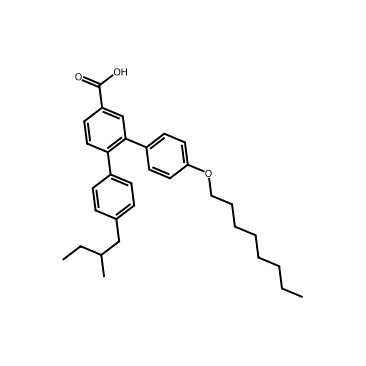 CCCCCCCCOc1ccc(-c2cc(C(=O)O)ccc2-c2ccc(CC(C)CC)cc2)cc1